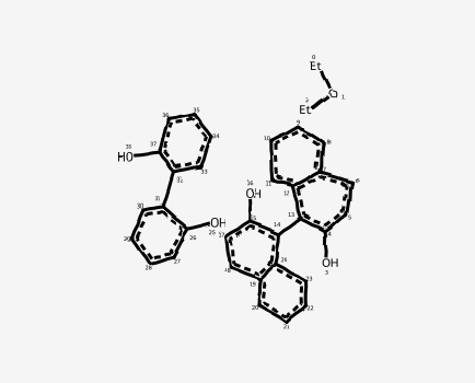 CCOCC.Oc1ccc2ccccc2c1-c1c(O)ccc2ccccc12.Oc1ccccc1-c1ccccc1O